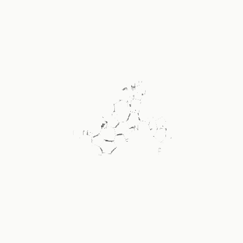 C=C[C@H]1COc2c(Cl)c(-c3ccc(F)c4sc(N)c(C#N)c34)c(F)c3nc(OC[C@@]45CCCN4C[C@H](F)C5)nc(c23)N1C1CCOC1